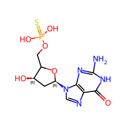 Nc1nc2c(ncn2[C@H]2C[C@@H](O)C(COP(O)(O)=S)O2)c(=O)[nH]1